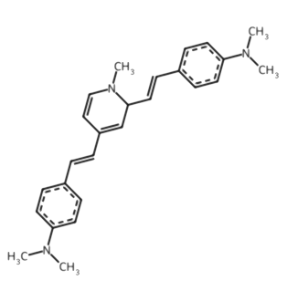 CN(C)c1ccc(/C=C/C2=CC(/C=C/c3ccc(N(C)C)cc3)N(C)C=C2)cc1